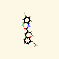 COc1cccc2c1OCC(C(=O)Nc1ccc(Cl)cc1Cl)=C2